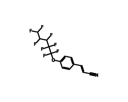 N#CC=Cc1ccc(OC(F)(F)C(F)(F)C(F)C(F)C(F)F)cc1